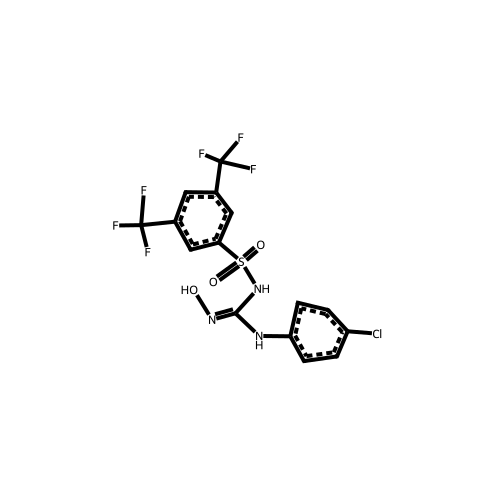 O=S(=O)(NC(=NO)Nc1ccc(Cl)cc1)c1cc(C(F)(F)F)cc(C(F)(F)F)c1